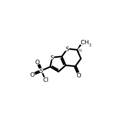 C[C@H]1CC(=O)c2cc(S(=O)(=O)Cl)sc2S1